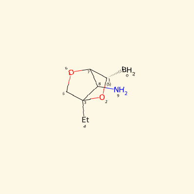 B[C@@H]1OC2(CC)COC1C2N